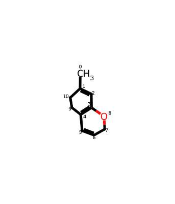 CC1=CC2=C(C=CCO2)CC1